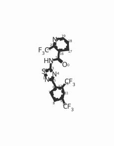 O=C(Nc1nc(-c2ccc(C(F)(F)F)cc2C(F)(F)F)ns1)c1cccnc1C(F)(F)F